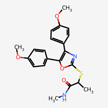 CNC(=O)C(C)Sc1nc(-c2ccc(OC)cc2)c(-c2ccc(OC)cc2)o1